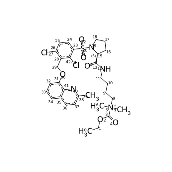 CCOC(=O)[N+](C)(C)CCCCNC(=O)[C@@H]1CCCN1S(=O)(=O)c1ccc(Cl)c(COc2cccc3ccc(C)nc23)c1Cl